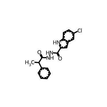 CC(C(=O)NNC(=O)c1cc2cc(Cl)ccc2[nH]1)c1ccccc1